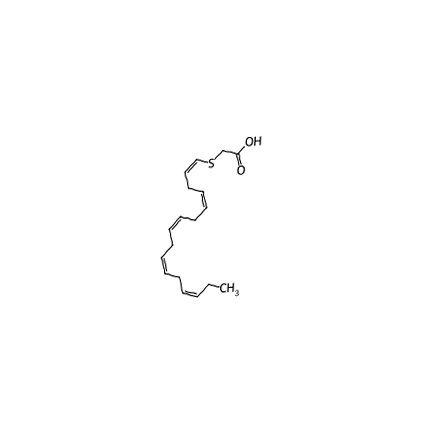 CC/C=C\C/C=C\C/C=C\C/C=C\C/C=C\SCC(=O)O